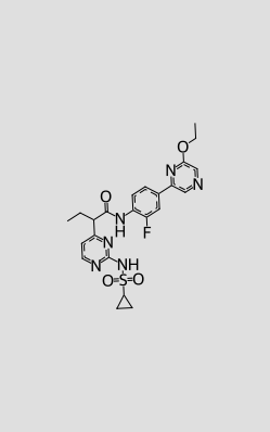 CCOc1cncc(-c2ccc(NC(=O)C(CC)c3ccnc(NS(=O)(=O)C4CC4)n3)c(F)c2)n1